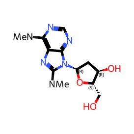 CNc1ncnc2c1nc(NC)n2[C@H]1C[C@@H](O)[C@H](CO)O1